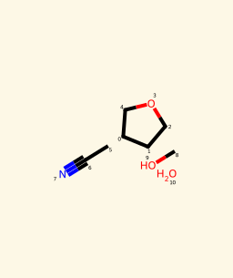 C1CCOC1.CC#N.CO.O